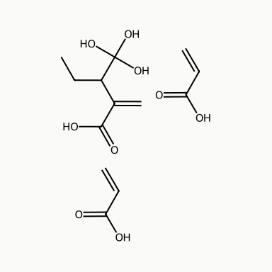 C=C(C(=O)O)C(CC)C(O)(O)O.C=CC(=O)O.C=CC(=O)O